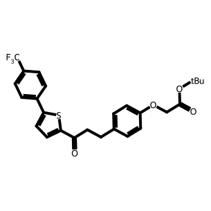 CC(C)(C)OC(=O)COc1ccc(CCC(=O)c2ccc(-c3ccc(C(F)(F)F)cc3)s2)cc1